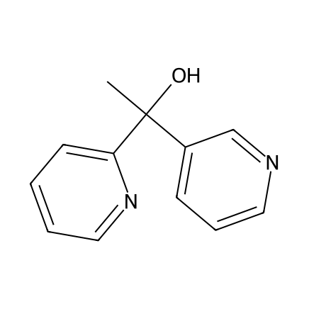 CC(O)(c1cccnc1)c1ccccn1